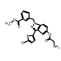 COC(=O)c1cccc(Cn2nc(-c3ccc(Cl)s3)c3cc(OC(=O)CN)ccc32)c1